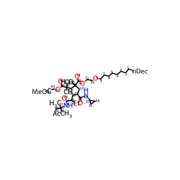 CCCCCCCCCCCCCCCCCCOCCOC(=O)C(C)(CC(CC(CC)C(=O)NC(C)(C)CC(C)=O)C(=O)NC1CC1)CC(C)(C)C(=O)OCCOC